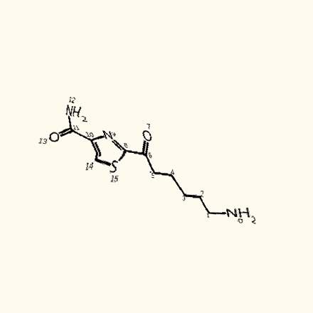 NCCCC[CH]C(=O)c1nc(C(N)=O)cs1